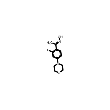 C/C(=N\O)c1ccc(N2CCOCC2)cc1F